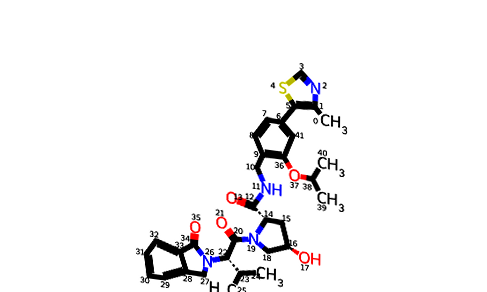 Cc1ncsc1-c1ccc(CNC(=O)[C@@H]2C[C@@H](O)CN2C(=O)[C@H](C(C)C)N2Cc3ccccc3C2=O)c(OC(C)C)c1